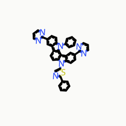 c1ccc(-c2ncc(-n3c4ccc(-c5ncccn5)cc4c4c3ccc3c5cc(-c6ncccn6)ccc5n(-c5ccccc5)c34)s2)cc1